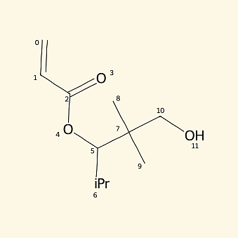 C=CC(=O)OC(C(C)C)C(C)(C)CO